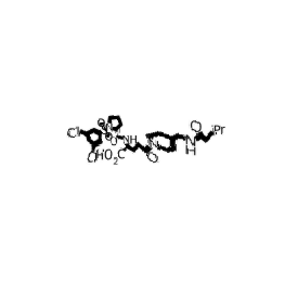 CC(C)CC(=O)NCC1CCN(C(=O)CC[C@H](NC(=O)[C@H]2CCCN2S(=O)(=O)c2cc(Cl)cc(Cl)c2)C(=O)O)CC1